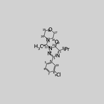 CC(C)c1nc(-c2cccc(Cl)c2)nn(C(C)N2CCOCC2)c1=O